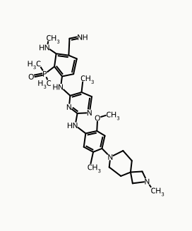 CNc1c(C=N)ccc(Nc2nc(Nc3cc(C)c(N4CCC5(CC4)CN(C)C5)cc3OC)ncc2C)c1P(C)(C)=O